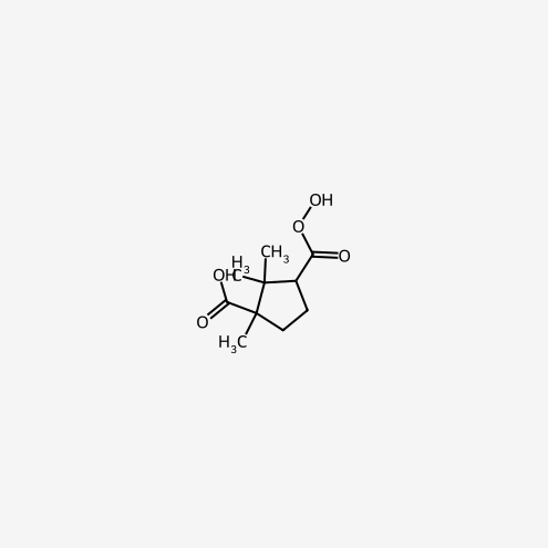 CC1(C(=O)O)CCC(C(=O)OO)C1(C)C